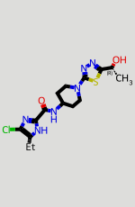 CCc1[nH]c(C(=O)NC2CCN(c3nnc([C@@H](C)O)s3)CC2)nc1Cl